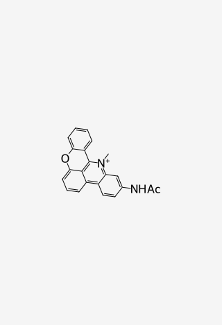 CC(=O)Nc1ccc2c3cccc4c3c([n+](C)c2c1)-c1ccccc1O4